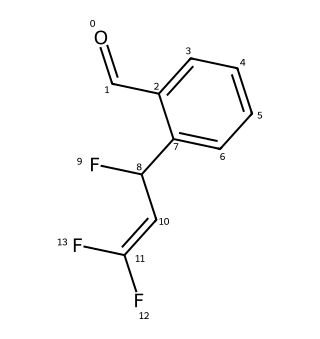 O=Cc1ccccc1C(F)C=C(F)F